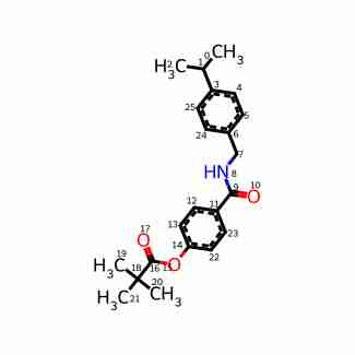 CC(C)c1ccc(CNC(=O)c2ccc(OC(=O)C(C)(C)C)cc2)cc1